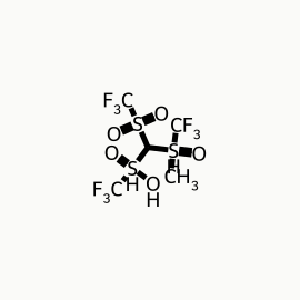 C[SH](=O)(C(S(=O)(=O)C(F)(F)F)[SH](=O)(O)C(F)(F)F)C(F)(F)F